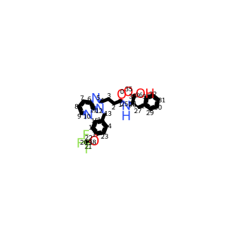 O=C(CCc1nc2cccnc2n1Cc1ccc(OC(F)(F)F)cc1)N[C@H](Cc1ccccc1)C(=O)O